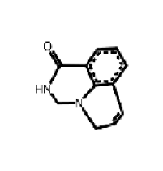 O=C1NCN2CC=Cc3cccc1c32